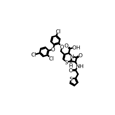 O=C(Cc1cccs1)NC1C(=O)N2C(C(=O)O)C(COc3cc(Cl)ccc3Oc3ccc(Cl)cc3Cl)=CS[C@H]12